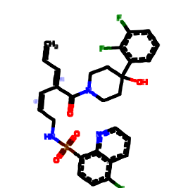 C=C/C=C(\C=C/CNS(=O)(=O)c1ccc(F)c2cccnc12)C(=O)N1CCC(O)(c2cccc(F)c2F)CC1